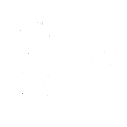 CC(C)[C@@H](Nc1cnc(C(N)=O)c(Nc2ccc(CS(C)(=O)=O)cc2)n1)C(=O)N(I)I